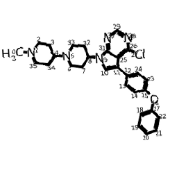 CN1CCC(N2CCC(n3cc(-c4ccc(Oc5ccccc5)cc4)c4c(Cl)ncnc43)CC2)CC1